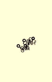 O=C(Cn1cc(Cc2ccccc2)cc(NC(=O)OCc2ccccc2)c1=O)NC(Cc1ccccc1)C(=O)C(F)(F)F